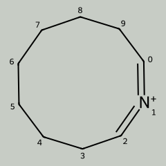 C1=[N+]=CCCCCCCC1